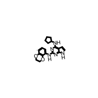 [c]1ccc(Nc2nc(NC3CCCC3)c3cc[nH]c3n2)c2c1OCCO2